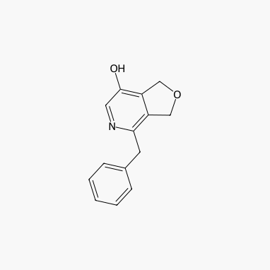 Oc1cnc(Cc2ccccc2)c2c1COC2